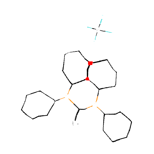 CCC(P(C1CCCCC1)C1CCCCC1)P(C1CCCCC1)C1CCCCC1.F[B-](F)(F)F